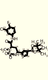 CN1C(C(=O)Nc2ccc(F)c(Cl)c2)CC(c2cc(B3OC(C)(C)C(C)(C)O3)cs2)NS1(=O)=O